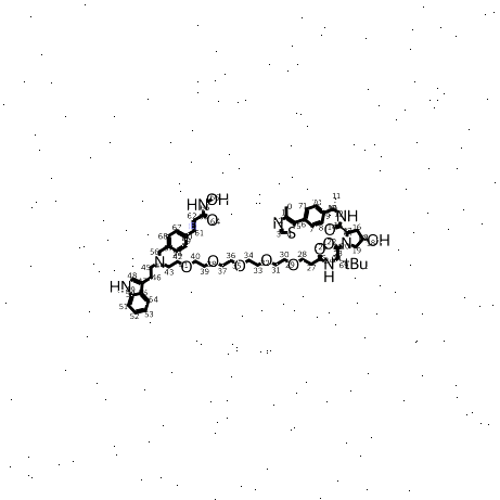 Cc1ncsc1-c1ccc([C@H](C)NC(=O)[C@H]2C[C@@H](O)CN2C(=O)[C@@H](NC(=O)CCOCCOCCOCCOCCOCCN(CCc2c[nH]c3ccccc23)Cc2ccc(/C=C/C(=O)NO)cc2)C(C)(C)C)cc1